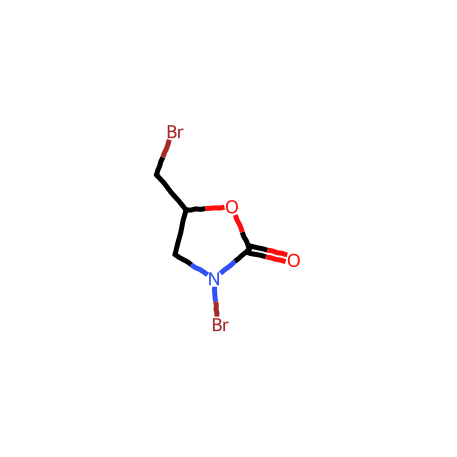 O=C1OC(CBr)CN1Br